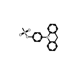 CS(=O)(=O)Oc1ccc([S+]2c3ccccc3Cc3ccccc32)cc1